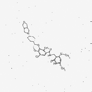 CSc1cc(C)[nH]c(=O)c1CNC(=O)c1cc(Cl)c2c(c1C)O[C@@H]([C@H]1CC[C@@H](N3CC4COCC4C3)CC1)CO2